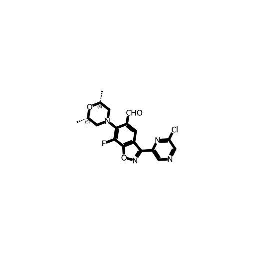 C[C@@H]1CN(c2c(C=O)cc3c(-c4cncc(Cl)n4)noc3c2F)C[C@H](C)O1